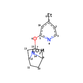 CCc1ccnc(OC2CC3CCC(C2)N3C(=O)O)c1